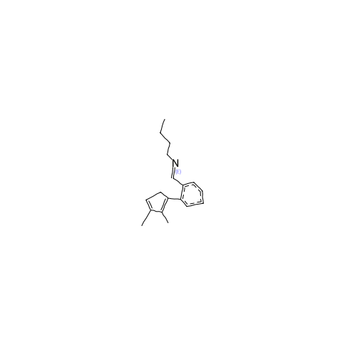 CCCC/N=C/c1ccccc1C1=C(C)C(C)=CC1